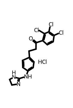 Cl.O=C(CCc1ccc(NC2=NCCN2)cc1)c1ccc(Cl)c(Cl)c1Cl